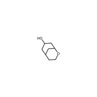 OC1CC2CCOC(C1)C2